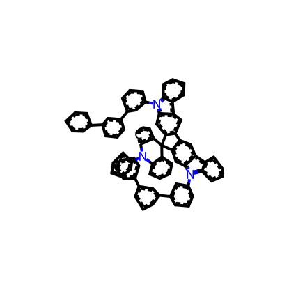 c1ccc(-c2cccc(-c3cccc(-n4c5ccccc5c5cc6c(cc54)C4(c5cc7c(cc5-6)c5ccccc5n7-c5cccc(-c6cccc(-c7ccccc7)c6)c5)c5ccccc5N(c5ccccc5)c5ccccc54)c3)c2)cc1